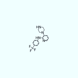 FC(F)(F)c1ccc(Nc2ncccc2N2CCNCC2)cc1